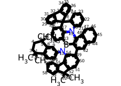 CC1(C)CCC(C)(C)c2cc(N3B4c5cccc6c5N(c5ccccc5C65c6ccccc6-c6ccccc65)c5c4c(cc4ccccc54)-c4ccc5c(c43)-c3ccccc3C5(C)C)ccc21